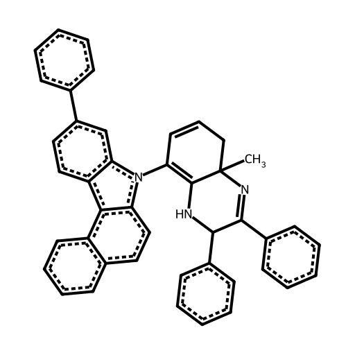 CC12CC=CC(n3c4cc(-c5ccccc5)ccc4c4c5ccccc5ccc43)=C1NC(c1ccccc1)C(c1ccccc1)=N2